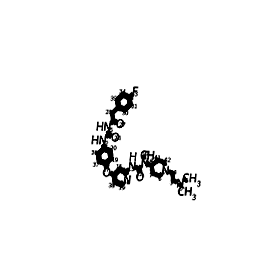 CN(C)CCN1CCC(N(C)C(=O)Nc2cc(Oc3ccc(NC(=O)NC(=O)Cc4ccc(F)cc4)cc3)ccn2)CC1